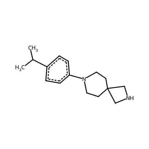 CC(C)c1ccc(N2CCC3(CC2)CNC3)cc1